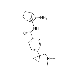 CN(C)CC1(c2ccc(C(=O)NC3C4CCC(O4)C3N)cc2)CC1